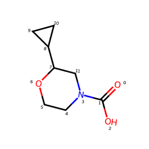 O=C(O)N1CCOC(C2CC2)C1